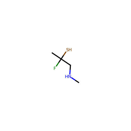 CNCC(C)(F)S